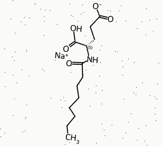 CCCCCCCC(=O)N[C@@H](CCC(=O)[O-])C(=O)O.[Na+]